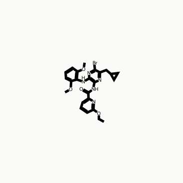 CCOc1cccc(C(=O)Nc2nc(CC3CC3)c(Br)nc2Nc2c(OC)cccc2OC)n1